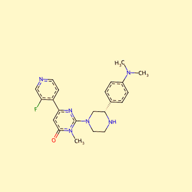 CN(C)c1ccc([C@H]2CN(c3nc(-c4ccncc4F)cc(=O)n3C)CCN2)cc1